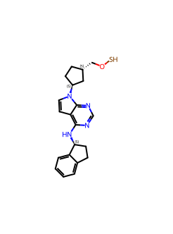 SOC[C@H]1CC[C@H](n2ccc3c(N[C@H]4CCc5ccccc54)ncnc32)C1